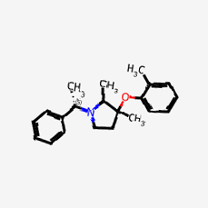 Cc1ccccc1OC1(C)CCN([C@@H](C)c2ccccc2)C1C